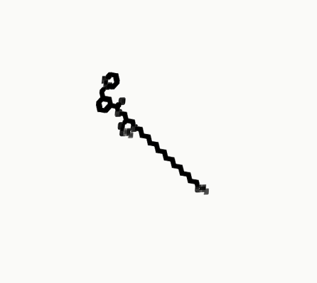 CCCCCCCCCCCCCCCCOCC(COC(=O)c1cccc(C[n+]2ccccn2)c1)OC